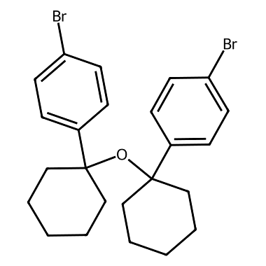 Brc1ccc(C2(OC3(c4ccc(Br)cc4)CCCCC3)CCCCC2)cc1